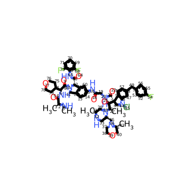 CN[C@@H](C)C(=O)N[C@H](C(=O)N1Cc2ccc(NC(=O)CNC(=O)[C@@]3(C(=O)[C@@H](C)N4C[C@@H](C)NC[C@@H]4CN4CCOC[C@H]4C)CN(Cl)c4cc(Cc5ccc(F)cc5)ccc43)cc2[C@H]1C(=O)Nc1c(F)cccc1F)C1CCOCC1